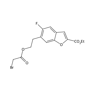 CCOC(=O)c1cc2cc(F)c(CCOC(=O)CBr)cc2o1